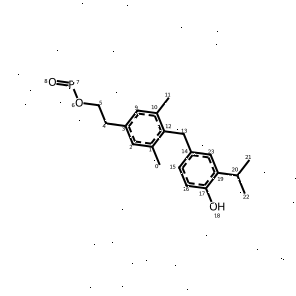 Cc1cc(CCOP=O)cc(C)c1Cc1ccc(O)c(C(C)C)c1